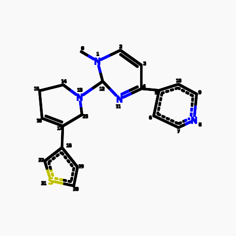 CN1C=CC(c2ccncc2)=NC1N1CCC=C(c2ccsc2)C1